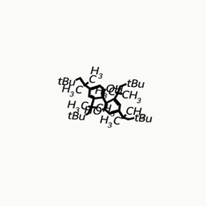 CC(C)(C)CC(C)(C)c1cc(O)c(-c2c(O)cc(C(C)(C)CC(C)(C)C)cc2C(C)(C)CC(C)(C)C)c(C(C)(C)CC(C)(C)C)c1